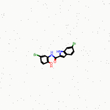 O=C(Nc1cc(Br)ccc1O)c1cc2ccc(Br)cc2[nH]1